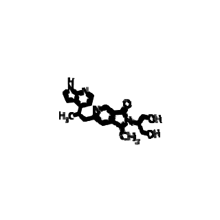 CC(Cc1cc2c(cn1)C(=O)N(C(CO)CO)C2C)c1ccnc2[nH]ccc12